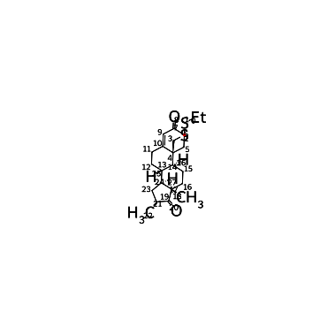 CCSSC[C@]12CCC(=O)C=C1CC[C@@H]1[C@@H]2CC[C@]2(C)C(=O)[C@@H](C)C[C@@H]12